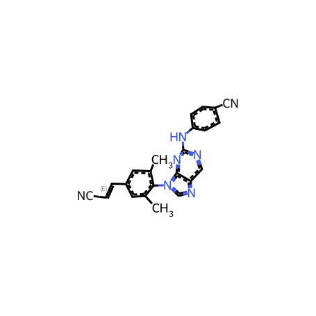 Cc1cc(/C=C/C#N)cc(C)c1-n1cnc2cnc(Nc3ccc(C#N)cc3)nc21